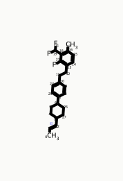 C/C=C/C1CCC(c2ccc(CCc3ccc(C)c(C(F)F)c3F)cc2)CC1